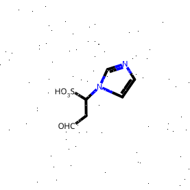 O=CCC(n1ccnc1)S(=O)(=O)O